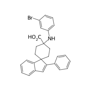 O=C(O)C1(Nc2cccc(Br)c2)CCC2(CC1)C(c1ccccc1)=Cc1ccccc12